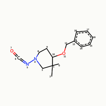 CC1(C)CN(N=C=O)CCC1OCc1ccccc1